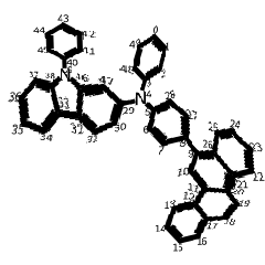 c1ccc(N(c2ccc(-c3cc4c5ccccc5ccc4c4ccccc34)cc2)c2ccc3c4ccccc4n(-c4ccccc4)c3c2)cc1